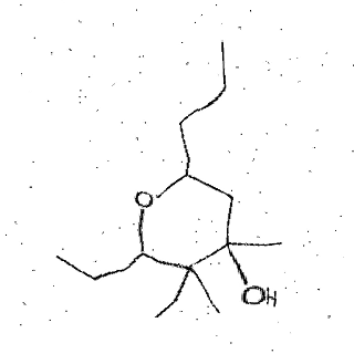 CCCC1CC(C)(O)C(C)(C)C(CC)O1